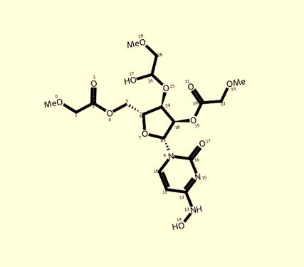 COCC(=O)OC[C@H]1O[C@@H](n2ccc(NO)nc2=O)[C@H](OC(=O)COC)[C@@H]1OC(O)COC